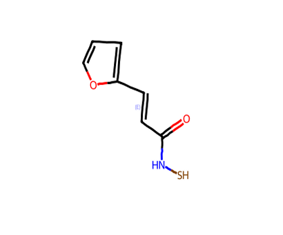 O=C(/C=C/c1ccco1)NS